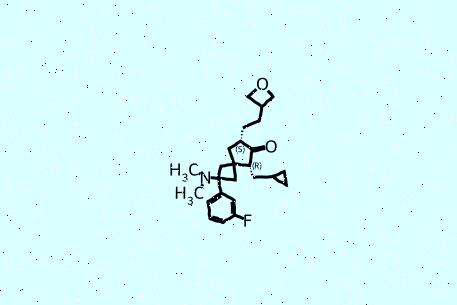 CN(C)C1(c2cccc(F)c2)CC2(C[C@H](CCC3COC3)C(=O)[C@@H]2CC2CC2)C1